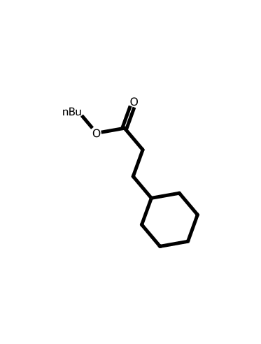 CCCCOC(=O)CCC1CCCCC1